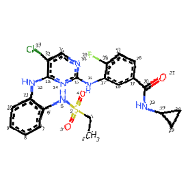 CCS(=O)(=O)Nc1ccccc1Nc1nc(Nc2cc(C(=O)NC3CC3)ccc2F)ncc1Cl